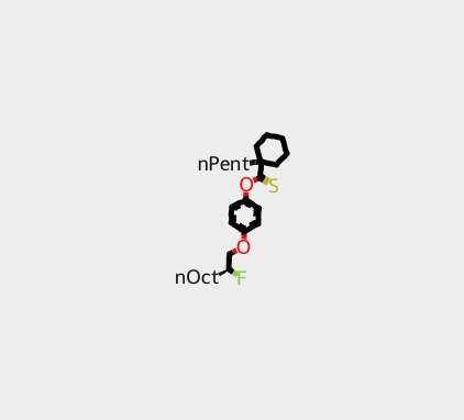 CCCCCCCC[C@H](F)COc1ccc(OC(=S)C2(CCCCC)CCCCC2)cc1